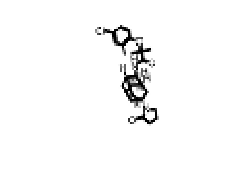 Cc1cc(Cl)ccc1OC(C)(C)C(=O)N[C@H]1[C@@H]2CC3C[C@H]1C[C@](N1CCCC1=O)(C3)C2